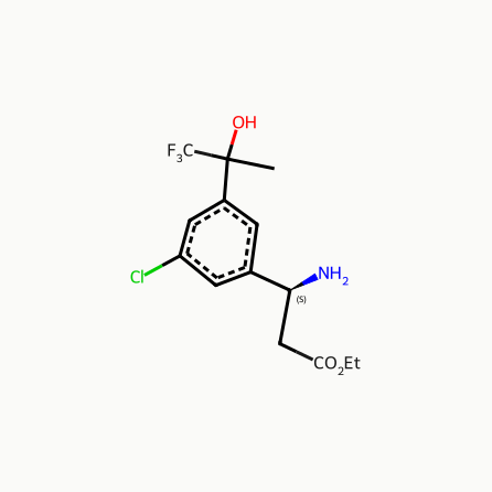 CCOC(=O)C[C@H](N)c1cc(Cl)cc(C(C)(O)C(F)(F)F)c1